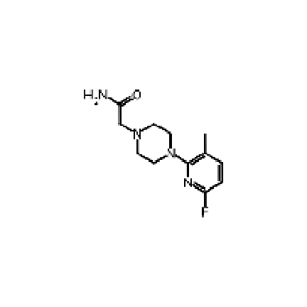 Cc1ccc(F)nc1N1CCN(CC(N)=O)CC1